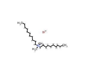 CCCCCCCCCCC[N+](C)(C)CCCCCCCCCC.[Br-]